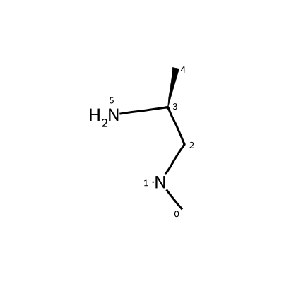 C[N]C[C@H](C)N